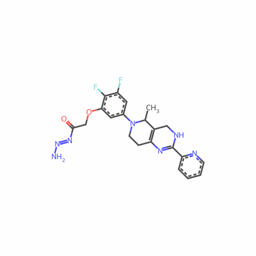 CC1C2=C(CCN1c1cc(F)c(F)c(OCC(=O)N=NN)c1)N=C(c1ccccn1)NC2